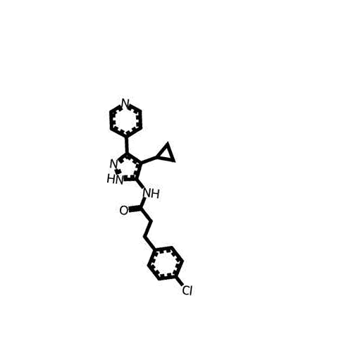 O=C(CCc1ccc(Cl)cc1)Nc1[nH]nc(-c2ccncc2)c1C1CC1